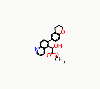 COC(=O)C(O)c1c(-c2ccc3c(c2)CCCO3)ccc2ncccc12